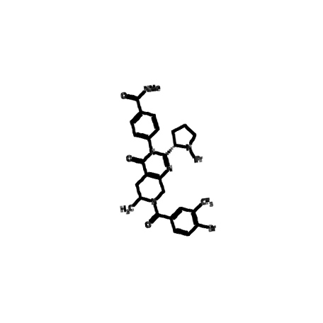 CNC(=O)c1ccc(-n2c([C@@H]3CCCN3C(C)C)nc3c(c2=O)CC(C)N(C(=O)c2ccc(Br)c(C(F)(F)F)c2)C3)cc1